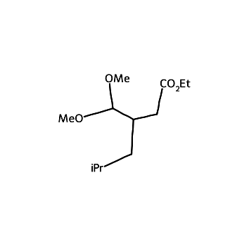 CCOC(=O)CC(CC(C)C)C(OC)OC